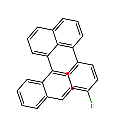 Clc1ccc(-c2cccc3cccc(-c4cccc5ccccc45)c23)cc1